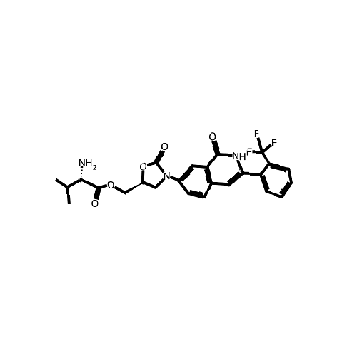 CC(C)[C@H](N)C(=O)OC[C@@H]1CN(c2ccc3cc(-c4ccccc4C(F)(F)F)[nH]c(=O)c3c2)C(=O)O1